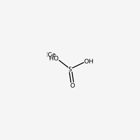 O=S(O)O.[Ge]